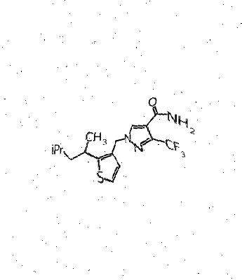 CC(C)CC(C)c1sccc1Cn1cc(C(N)=O)c(C(F)(F)F)n1